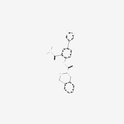 CN(C)C(=O)c1cc(-c2cn[nH]c2)ccc1NC(=O)[C@H]1Cc2ccccc2CN1